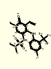 C=Cc1c(Nc2ccc(I)cc2C(F)(F)F)c(NS(=O)(=O)N(C)C)cn(C)c1=O